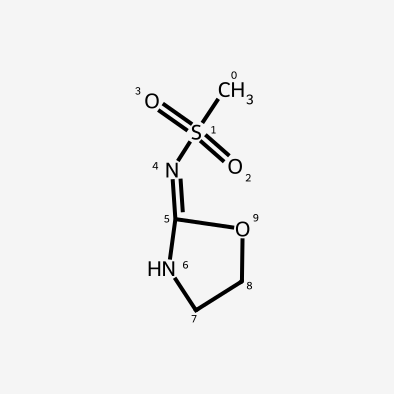 CS(=O)(=O)N=C1NCCO1